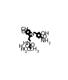 COc1ccc2c(c1)c(CCNC(=O)C(C)(C)C)cn2Cc1ccc(C(N)=O)c(O)c1